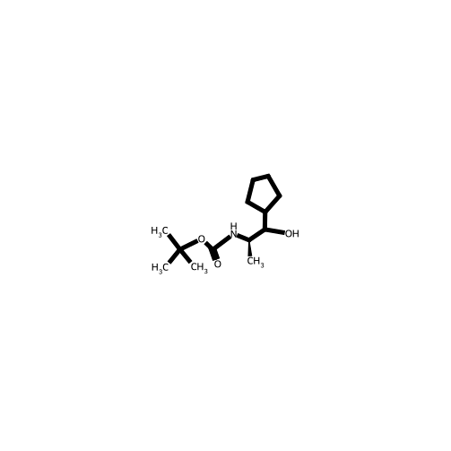 C[C@@H](NC(=O)OC(C)(C)C)C(O)C1CCCC1